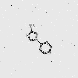 Nc1ncn(-c2ccncn2)n1